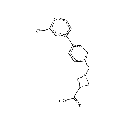 O=C(O)C1CN(Cc2ccc(-c3cccc(Cl)c3)cc2)C1